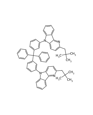 CC(C)(C)Cc1ccc2c(n1)c1ccccc1n2-c1cccc(C(c2ccccc2)(c2ccccc2)c2cccc(-n3c4ccccc4c4nc(CC(C)(C)C)ccc43)c2)c1